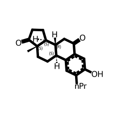 CCCc1cc2c(cc1O)C(=O)C[C@@H]1[C@@H]2CC[C@]2(C)C(=O)CC[C@@H]12